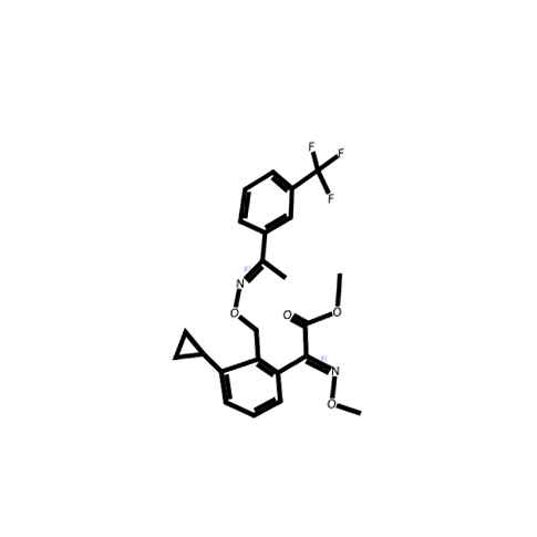 CO/N=C(/C(=O)OC)c1cccc(C2CC2)c1CO/N=C(\C)c1cccc(C(F)(F)F)c1